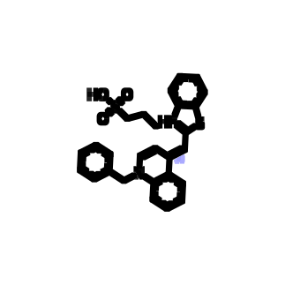 O=S(=O)(O)CCC[PH]1=C(/C=C2\C=CN(Cc3ccccc3)c3ccccc32)Sc2ccccc21